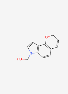 OCn1ccc2c3c(ccc21)C=CCO3